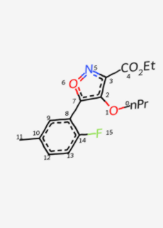 CCCOc1c(C(=O)OCC)noc1-c1cc(C)ccc1F